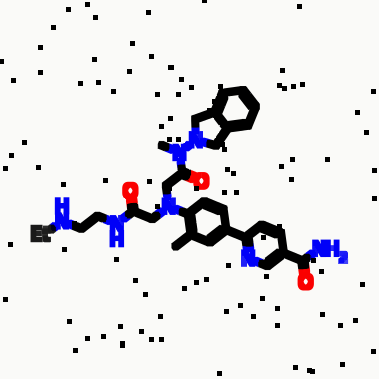 CCNCCNC(=O)CN(CC(=O)N(C)N1Cc2ccccc2C1)c1ccc(-c2ccc(C(N)=O)cn2)cc1C